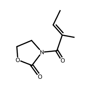 CC=C(C)C(=O)N1CCOC1=O